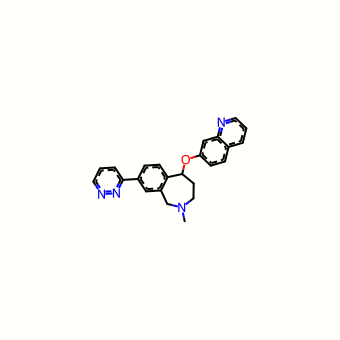 CN1CCC(Oc2ccc3cccnc3c2)c2ccc(-c3cccnn3)cc2C1